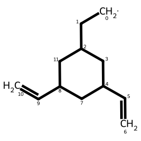 [CH2]CC1CC(C=C)CC(C=C)C1